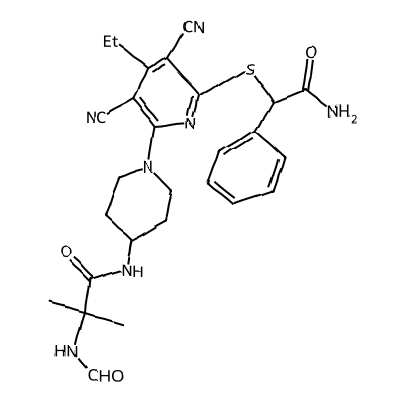 CCc1c(C#N)c(SC(C(N)=O)c2ccccc2)nc(N2CCC(NC(=O)C(C)(C)NC=O)CC2)c1C#N